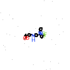 COC(=O)C1(c2ccc(CNc3ccc(-c4c5cccc(C(F)(F)F)c5nn4Cc4ccccc4)cc3)cc2)CC1